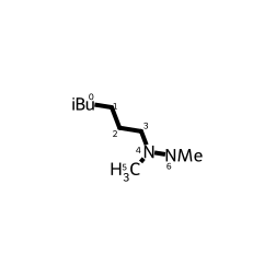 CCC(C)CCCN(C)NC